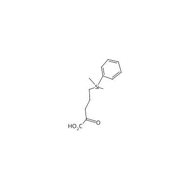 C[Si](C)(CCCC(=O)C(=O)O)c1ccccc1